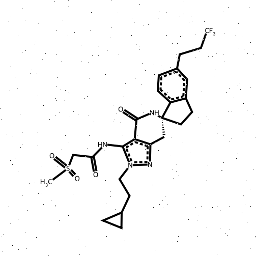 CS(=O)(=O)CC(=O)Nc1c2c(nn1CCC1CC1)C[C@]1(CCc3cc(CCC(F)(F)F)ccc31)NC2=O